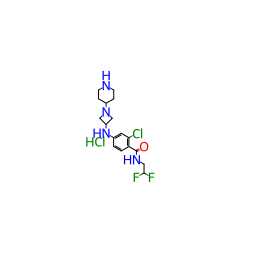 Cl.O=C(NCC(F)F)c1ccc(NC2CN(C3CCNCC3)C2)cc1Cl